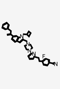 C=C(Cc1ccccc1)c1ccc2cc(CN3CCN(c4cccc(CCc5ccc(C#N)cc5F)n4)CC3)n(CC3CCC3)c2c1